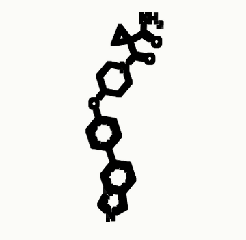 NC(=O)C1(C(=O)N2CCC(Oc3ccc(-c4ccc5cncn5c4)cc3)CC2)CC1